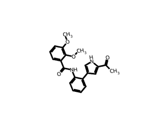 COc1cccc(C(=O)Nc2ccccc2-c2c[nH]c(C(C)=O)c2)c1OC